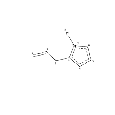 C=CCc1cccn1F